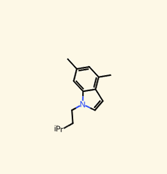 Cc1cc(C)c2ccn(CCC(C)C)c2c1